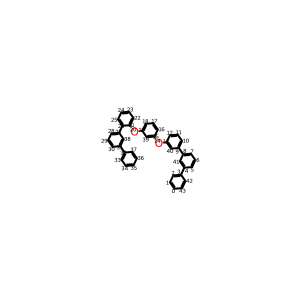 c1ccc(-c2cccc(-c3cccc(Oc4cccc(Oc5ccccc5-c5cccc(-c6ccccc6)c5)c4)c3)c2)cc1